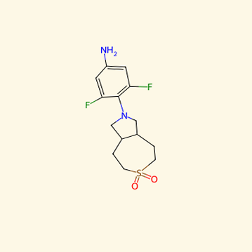 Nc1cc(F)c(N2CC3CCS(=O)(=O)CCC3C2)c(F)c1